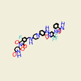 CNC(=O)c1ccccc1Nc1cc(Nc2ccc(N3CCC(NCc4cc(F)c5c(c4)C(=O)N(C4CCC(=O)NC4=O)C5=O)CC3)cc2OC)ncc1C(F)(F)F